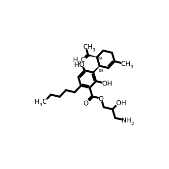 C=C(C)[C@H]1CCC(C)=C[C@H]1c1c(O)cc(CCCCC)c(C(=O)OCC(O)CN)c1O